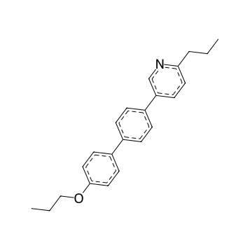 CCCOc1ccc(-c2ccc(-c3ccc(CCC)nc3)cc2)cc1